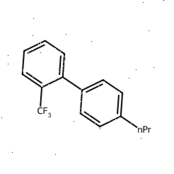 CCCc1[c]cc(-c2ccccc2C(F)(F)F)cc1